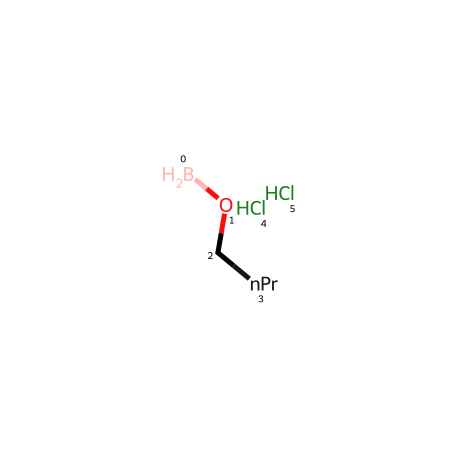 BOCCCC.Cl.Cl